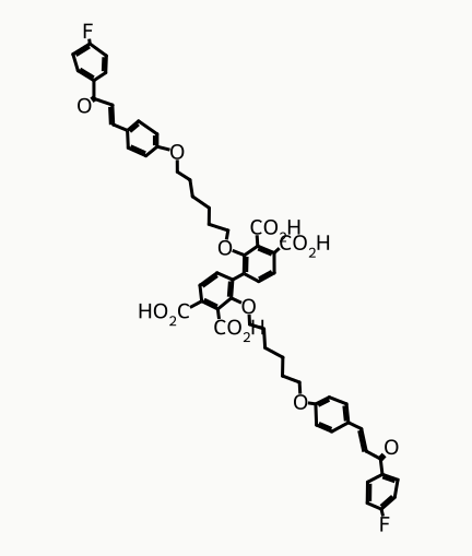 O=C(C=Cc1ccc(OCCCCCCOc2c(-c3ccc(C(=O)O)c(C(=O)O)c3OCCCCCCOc3ccc(C=CC(=O)c4ccc(F)cc4)cc3)ccc(C(=O)O)c2C(=O)O)cc1)c1ccc(F)cc1